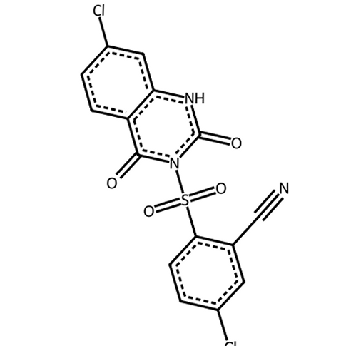 N#Cc1cc(Cl)ccc1S(=O)(=O)n1c(=O)[nH]c2cc(Cl)ccc2c1=O